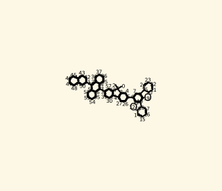 CC1(C)c2cc(-c3cc4c(c5c3OC3C=CC=CC53)OC3C=CC=CC43)ccc2-c2ccc(-c3c4ccccc4c(-c4ccc5ccccc5c4)c4ccccc34)cc21